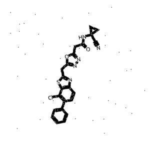 N#CC1(NC(=O)Cc2nnc(Cc3nc4ccc(-c5ccccc5)c(Cl)c4s3)o2)CC1